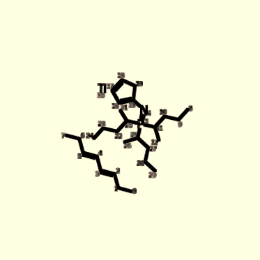 CCC=CC=CCC.CCCC(C)P(=NC1=CC=CC1)(C(C)CCC)C(C)CCC.[Ti]